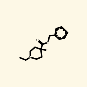 CCN1CCC(F)(C(=O)OCc2ccccc2)CC1